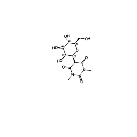 CN1C(=O)C([C@@H]2O[C@H](CO)[C@@H](O)[C@H](O)[C@@H]2O)C(=O)N(C)C1=O